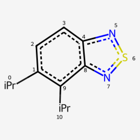 CC(C)c1ccc2nsnc2c1C(C)C